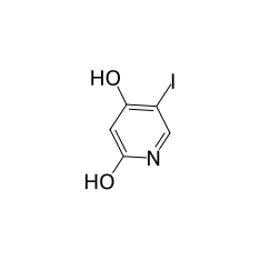 Oc1cc(O)c(I)cn1